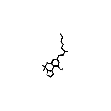 CCCCCC(C)CCc1cc(O)c2c(c1)OC(C)(C)C1=C2CCS1